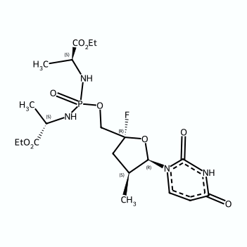 CCOC(=O)[C@H](C)NP(=O)(N[C@@H](C)C(=O)OCC)OC[C@]1(F)C[C@H](C)[C@H](n2ccc(=O)[nH]c2=O)O1